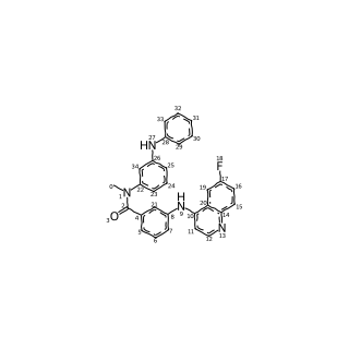 CN(C(=O)c1cccc(Nc2ccnc3ccc(F)cc23)c1)c1cccc(Nc2ccccc2)c1